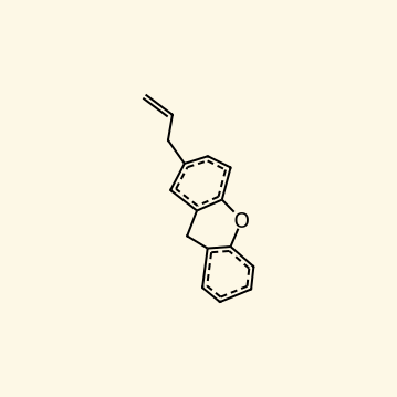 C=CCc1ccc2c(c1)Cc1ccccc1O2